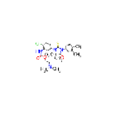 Cc1cc(N2C(=O)C(C)(C)N(c3ccc(Cl)c(NC(=O)OCCN(C)C)c3)C2=S)ccc1C#N